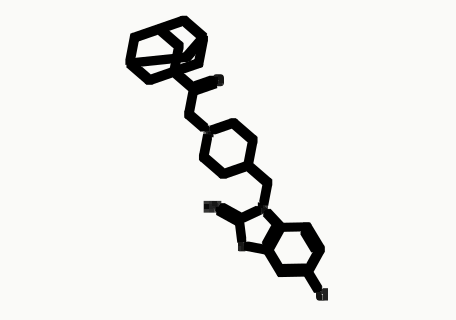 N=c1sc2cc(Cl)ccc2n1CC1CCN(CC(=O)C23CC4CC(CC(C4)C2)C3)CC1